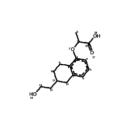 CC(Oc1cccc2c1CCC(CCO)C2)C(=O)O